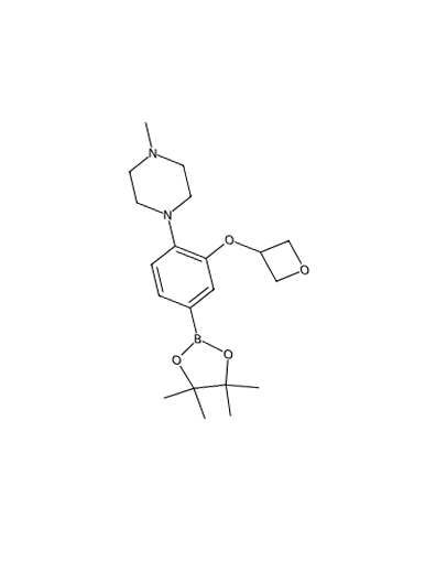 CN1CCN(c2ccc(B3OC(C)(C)C(C)(C)O3)cc2OC2COC2)CC1